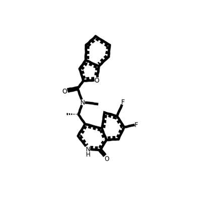 C[C@@H](c1c[nH]c(=O)c2cc(F)c(F)cc12)N(C)C(=O)c1cc2ccccc2o1